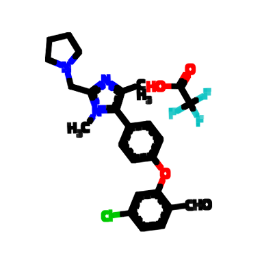 Cc1nc(CN2CCCC2)n(C)c1-c1ccc(Oc2cc(Cl)ccc2C=O)cc1.O=C(O)C(F)(F)F